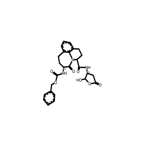 O=C1C[C@H](NC(=O)C2CCc3cccc4c3N2C(=O)[C@@H](NC(=O)OCc2ccccc2)CC4)C(O)O1